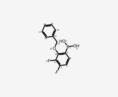 OB(O)c1ccc(F)c(F)c1OCc1ccccc1